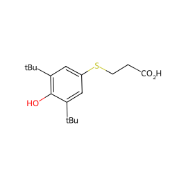 CC(C)(C)c1cc(SCCC(=O)O)cc(C(C)(C)C)c1O